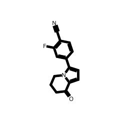 N#Cc1ccc(-c2ccc3n2CCCC3=O)cc1F